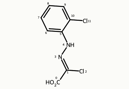 O=C(O)C(Cl)=NNc1ccccc1Cl